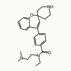 CCN(CCN(C)C)C(=O)c1ccc(C2=CC3(CCNCC3)Oc3ccccc32)cc1